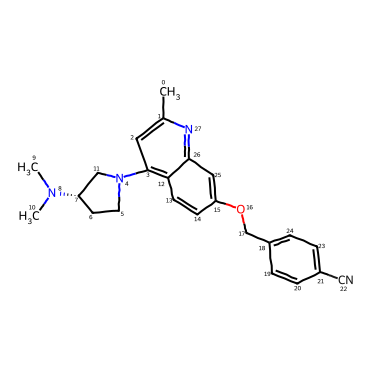 Cc1cc(N2CC[C@H](N(C)C)C2)c2ccc(OCc3ccc(C#N)cc3)cc2n1